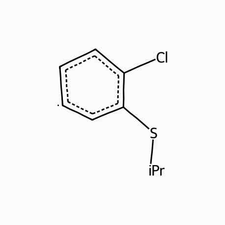 CC(C)Sc1c[c]ccc1Cl